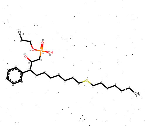 CCCCCCCSCCCCCCCC(c1ccccc1)C([O])CP(=O)(O)OCCC